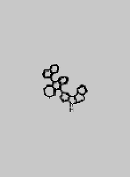 C1=CC2CCC3Nc4ccc(-c5c6c(c(-c7cccc8ccccc78)c7ccccc57)CCCCC6)cc4C3C2C=C1